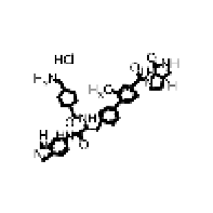 Cc1cc(C(=O)N2CC[C@@H]3CNC(=O)[C@H]32)ccc1-c1ccc(C[C@H](NC(=O)C2CCC(CN)CC2)C(=O)Nc2ccc3cn[nH]c3c2)cc1.Cl